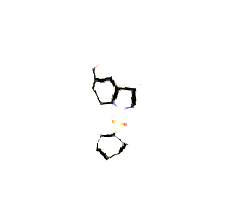 O=S(=O)(c1ccccc1)n1ccc2cc(CBr)ccc21